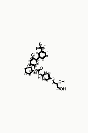 O=C(Nc1ncc(OC[C@H](O)CO)cn1)N1c2nc(-c3cccc(C(F)(F)F)c3)c(Cl)cc2N2CCC[C@H]1C2